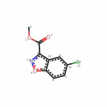 COC(=O)c1noc2ccc(Br)cc12